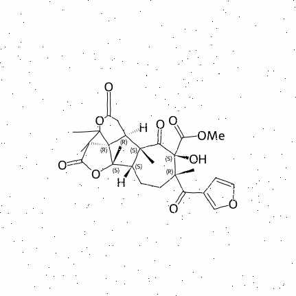 COC(=O)[C@@]1(O)C(=O)[C@]2(C)[C@H](CC[C@@]1(C)C(=O)c1ccoc1)[C@]1(C)OC(=O)C[C@]13[C@H]2CC(=O)OC3(C)C